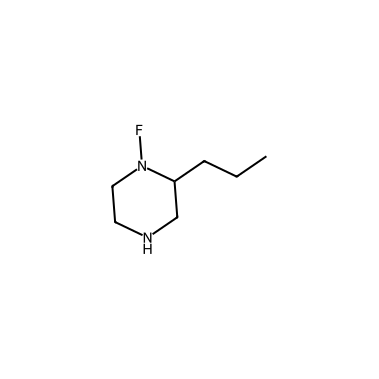 CCCC1CNCCN1F